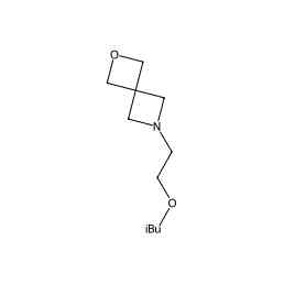 CCC(C)OCCN1CC2(COC2)C1